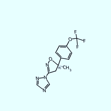 C[C@]1(c2ccc(OC(F)(F)F)cc2)CC(n2cncn2)=NO1